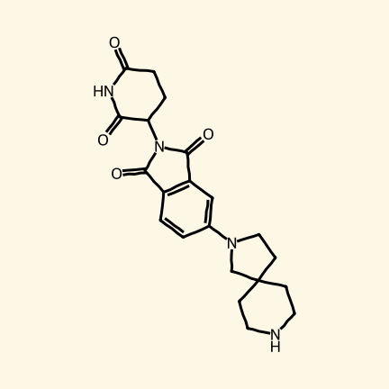 O=C1CCC(N2C(=O)c3ccc(N4CCC5(CCNCC5)C4)cc3C2=O)C(=O)N1